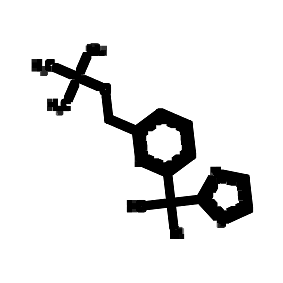 CCC(O)(c1cccc(CO[Si](C)(C)C(C)(C)C)n1)c1nccs1